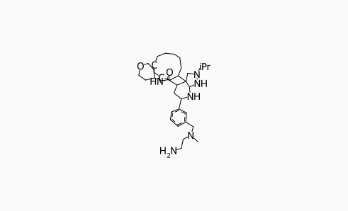 CC(C)N1CC2(C3CCCCCCCCC3)C(NC(c3cccc(CN(C)CCN)c3)CC2C(=O)NC2CCOCC2)N1